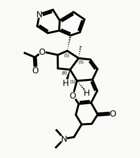 CC(=O)OC1C[C@H]2[C@@H]3OC4=C(C=C3C=C[C@]2(C)[C@H]1c1cccc2cnccc12)C(=O)CC(CN(C)C)C4